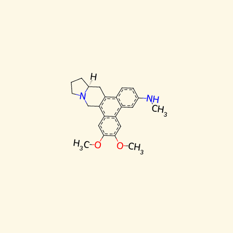 CNc1ccc2c3c(c4cc(OC)c(OC)cc4c2c1)CN1CCC[C@H]1C3